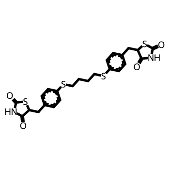 O=C1NC(=O)C(Cc2ccc(SCCCCSc3ccc(CC4SC(=O)NC4=O)cc3)cc2)S1